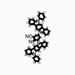 N#Cc1cc(-n2c3ccccc3c3cc4c(cc32)c2ccccc2n4-c2ccccc2)cc(-n2c3ccccc3c3cc4c(cc32)c2ccccc2n4-c2ccccc2)c1C#N